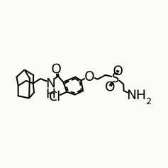 NCCS(=O)(=O)CCOc1ccc(Cl)c(C(=O)NCC23CC4CC(CC(C4)C2)C3)c1